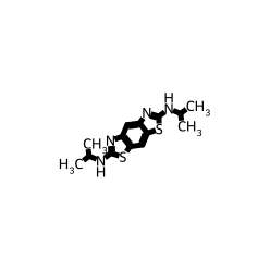 CC(C)Nc1nc2cc3nc(NC(C)C)sc3cc2s1